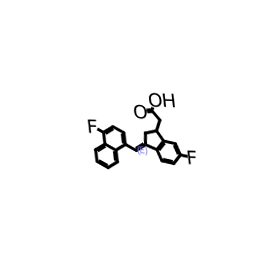 O=C(O)CC1C/C(=C\c2ccc(F)c3ccccc23)c2ccc(F)cc21